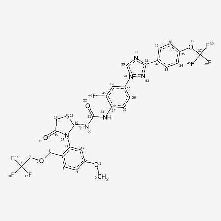 COc1ccc(COCC(F)(F)F)c(N2C(=O)CS/C2=N\C(=O)Nc2ccc(-n3cnc(-c4ccc(OC(F)(F)F)cc4)n3)cc2F)c1